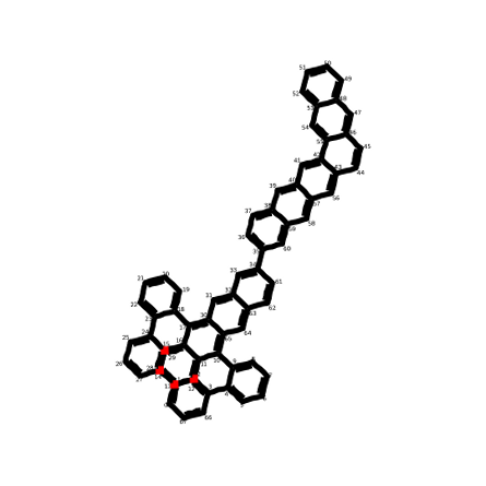 c1ccc(-c2ccccc2-c2c3ccccc3c(-c3ccccc3-c3ccccc3)c3cc4cc(-c5ccc6cc7cc8c(ccc9cc%10ccccc%10cc98)cc7cc6c5)ccc4cc23)cc1